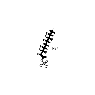 O=S(=O)([O-])OC(F)=C(F)C(F)(F)C(F)(F)C(F)(F)C(F)(F)C(F)(F)C(F)(F)C(F)(F)F.[Na+]